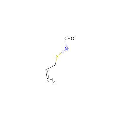 C=CCS[N]C=O